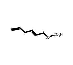 C=CCC=CCOC(=O)O